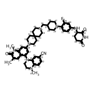 Cc1cc2c(N3CCN(C)c4ccc(C#N)cc43)cc(N3CCC4(CCN(CC5CCN(c6ccc(NC7CCC(=O)NC7=O)cc6F)CC5)CC4)CC3)cc2n(C)c1=O